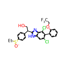 CC[S+]([O-])c1ccc(C(CO)c2nc3c(Cl)c(-c4ccccc4OCC(F)(F)F)c(Cl)cc3[nH]2)cc1